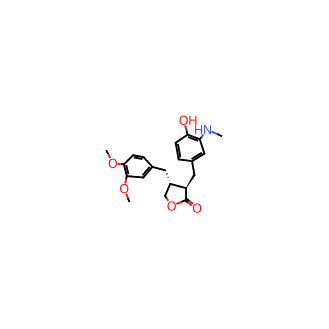 CNc1cc(C[C@H]2C(=O)OC[C@@H]2Cc2ccc(OC)c(OC)c2)ccc1O